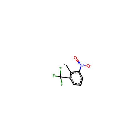 [CH2]c1c([N+](=O)[O-])cccc1C(F)(F)F